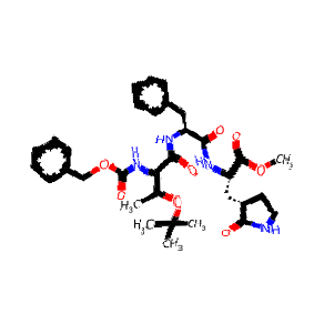 COC(=O)[C@H](C[C@@H]1CCNC1=O)NC(=O)[C@H](Cc1ccccc1)NC(=O)C(NC(=O)OCc1ccccc1)C(C)OC(C)(C)C